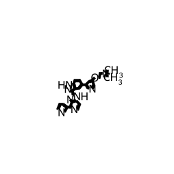 CN(C)CCOc1cncc(-c2ccc3[nH]nc(-c4nc5c(-c6cccnc6)nccc5[nH]4)c3c2)c1